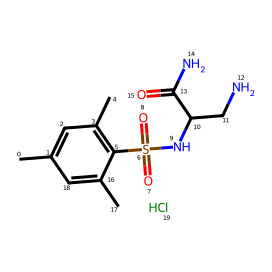 Cc1cc(C)c(S(=O)(=O)NC(CN)C(N)=O)c(C)c1.Cl